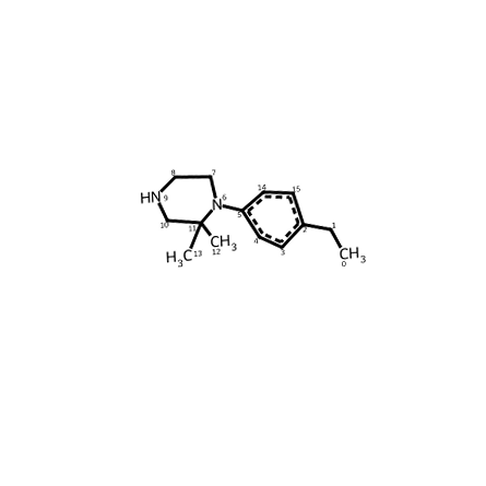 CCc1ccc(N2CCNCC2(C)C)cc1